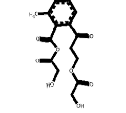 Cc1cccc(C(=O)CCOC(=O)CO)c1C(=O)OC(=O)CO